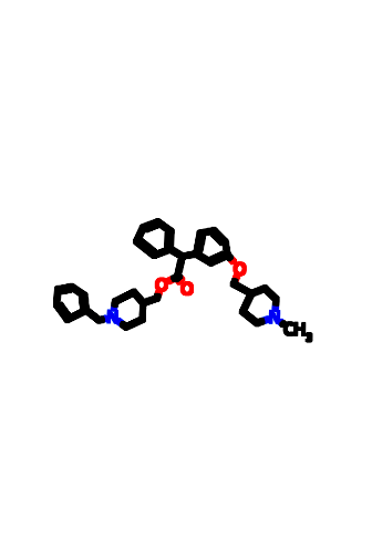 CN1CCC(COc2cccc(C(C(=O)OCC3CCN(Cc4ccccc4)CC3)c3ccccc3)c2)CC1